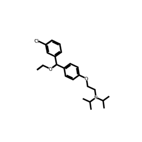 CCOC(c1ccc(OCCN(C(C)C)C(C)C)cc1)c1cccc(Cl)c1